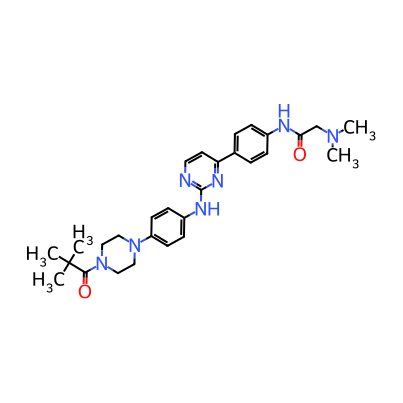 CN(C)CC(=O)Nc1ccc(-c2ccnc(Nc3ccc(N4CCN(C(=O)C(C)(C)C)CC4)cc3)n2)cc1